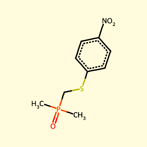 CP(C)(=O)CSc1ccc([N+](=O)[O-])cc1